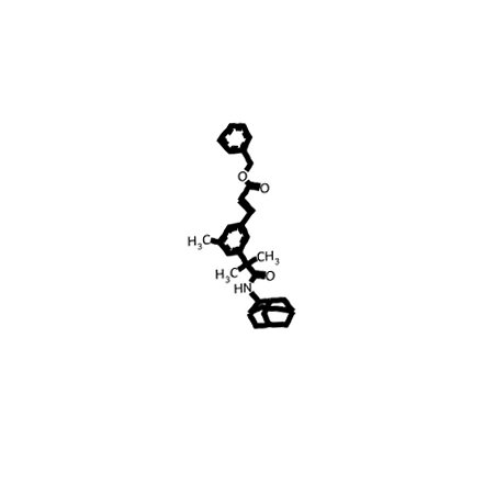 Cc1cc(/C=C/C(=O)OCc2ccccc2)cc(C(C)(C)C(=O)NC2C3CC4CC(C3)CC2C4)c1